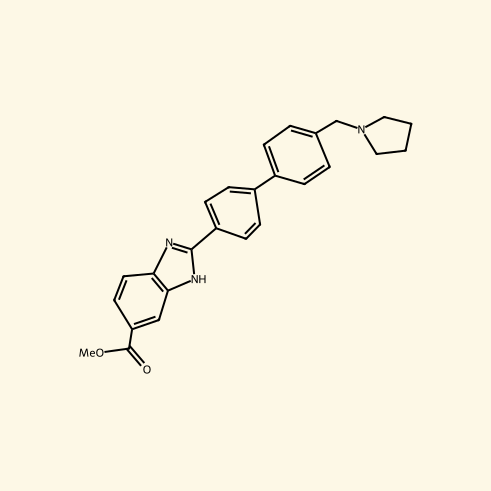 COC(=O)c1ccc2nc(-c3ccc(-c4ccc(CN5CCCC5)cc4)cc3)[nH]c2c1